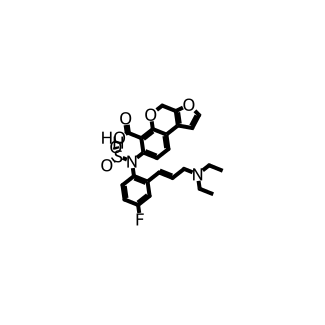 CCN(CC)CC=Cc1cc(F)ccc1N(c1ccc2c(c1C(=O)O)OCc1occc1-2)[SH](=O)=O